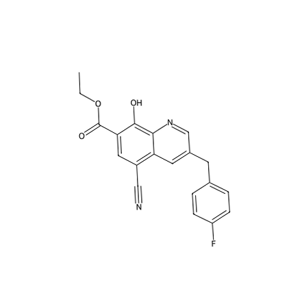 CCOC(=O)c1cc(C#N)c2cc(Cc3ccc(F)cc3)cnc2c1O